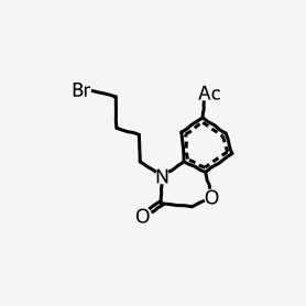 CC(=O)c1ccc2c(c1)N(CCCCBr)C(=O)CO2